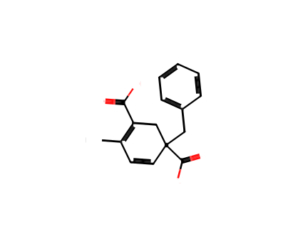 CC1=C(C(=O)O)CC(Cc2ccccc2)(C(=O)O)C=C1